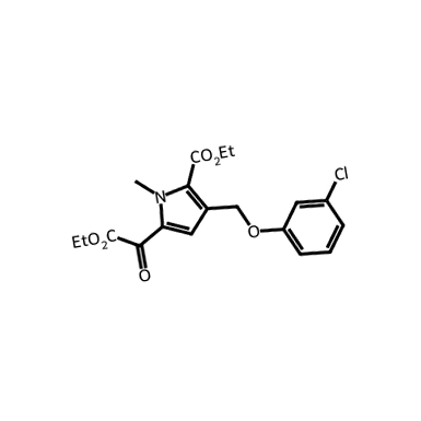 CCOC(=O)C(=O)c1cc(COc2cccc(Cl)c2)c(C(=O)OCC)n1C